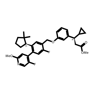 COC(=O)C[C@@H](c1cccc(OCc2cc([C@H]3CCCC3(C)C)c(-c3cc(OC)ncc3F)cc2F)c1)C1CC1